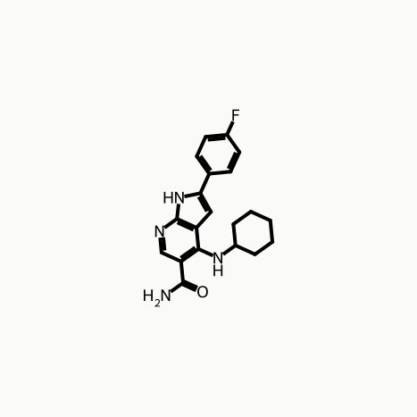 NC(=O)c1cnc2[nH]c(-c3ccc(F)cc3)cc2c1NC1CCCCC1